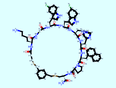 NCCCC[C@@H]1NC(=O)CCSCc2cccc(c2)CSC[C@@H](C(N)=O)NC(=O)[C@@H]2CCCN2C(=O)[C@H](Cc2cccc3ccccc23)NC(=O)[C@H](Cc2c[nH]cn2)NC(=O)[C@H](CC(=O)O)NC(=O)[C@H](Cc2c[nH]c3ccc(F)cc23)NC(=O)[C@H](Cc2c[nH]c3ccc(F)cc23)NC(=O)CNC1=O